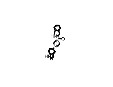 O=C([C@@H]1Cc2ccccc2CN1)N1CCN(c2ccc3[nH]ncc3c2)CC1